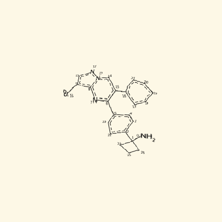 NC1(c2ccc(-c3nc4c(Br)cnn4cc3-c3ccccc3)cc2)CCC1